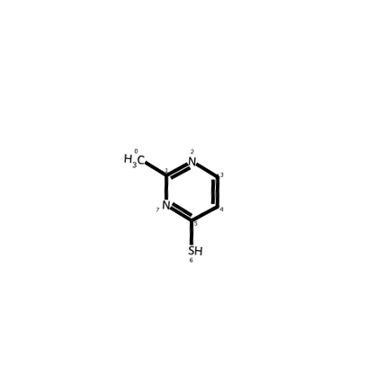 Cc1n[c]cc(S)n1